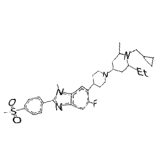 CCC1CC(N2CCC(c3cc4c(cc3F)nc(-c3ccc(S(C)(=O)=O)cc3)n4C)CC2)CC(C)N1CC1CC1